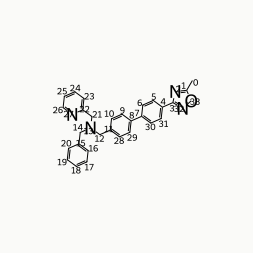 Cc1nc(-c2ccc(-c3ccc(CN(Cc4ccccc4)Cc4ccccn4)cc3)cc2)no1